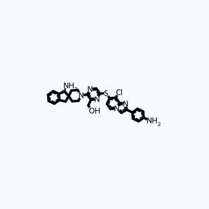 Nc1ccc(-c2cn3ccc(Sc4cnc(N5CCC6(CC5)Cc5ccccc5[C@H]6N)c(CO)n4)c(Cl)c3n2)cc1